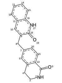 O=C1NCCc2cc(Cc3cc4ccccc4[nH]c3=O)ccc21